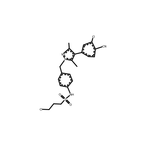 Cc1nn(Cc2ccc(NS(=O)(=O)CCCCl)cc2)c(C)c1-c1ccc(C#N)c(Cl)c1